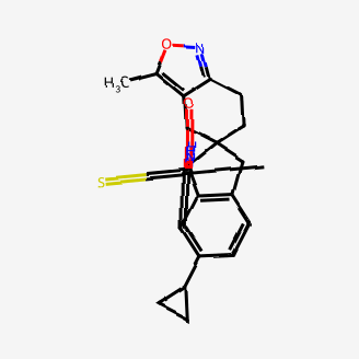 Cc1onc2c1CC1(CC2)Cc2ccc(C3CC3)cc2C12NC(=S)NC2=O